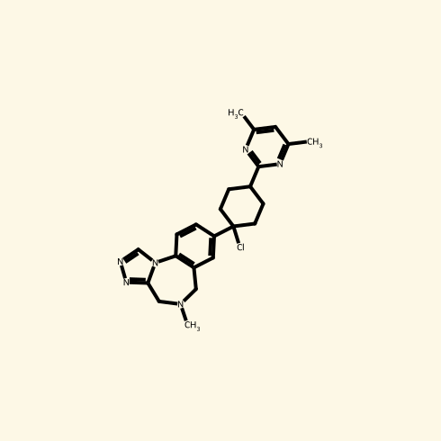 Cc1cc(C)nc(C2CCC(Cl)(c3ccc4c(c3)CN(C)Cc3nncn3-4)CC2)n1